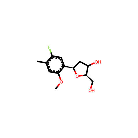 COc1cc(C)c(F)cc1[C@H]1CC(O)[C@@H](CO)O1